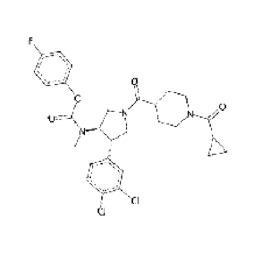 CN(C(=O)Oc1ccc(F)cc1)[C@H]1CN(C(=O)C2CCN(C(=O)C3CC3)CC2)C[C@@H]1c1ccc(Cl)c(Cl)c1